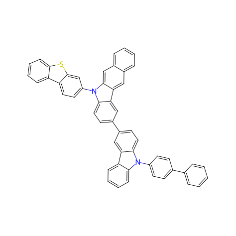 c1ccc(-c2ccc(-n3c4ccccc4c4cc(-c5ccc6c(c5)c5cc7ccccc7cc5n6-c5ccc6c(c5)sc5ccccc56)ccc43)cc2)cc1